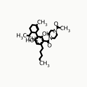 C=C(C)C1CCC(C)=CC1c1c(O)cc(CCCCC)c(C(=O)N2CCN(C(C)=O)CC2)c1O